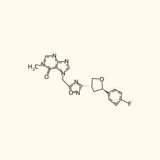 Cn1cnc2ncn(Cc3nc([C@@H]4CO[C@@H](c5ccc(F)cc5)C4)no3)c2c1=O